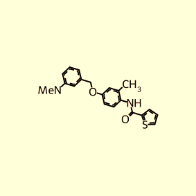 CNc1cccc(COc2ccc(NC(=O)c3cccs3)c(C)c2)c1